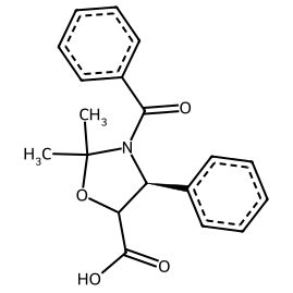 CC1(C)OC(C(=O)O)[C@H](c2ccccc2)N1C(=O)c1ccccc1